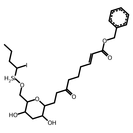 CCCC(I)[SiH2]OCC1OC(CCC(=O)CCC/C=C/C(=O)OCc2ccccc2)C(O)CC1O